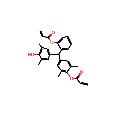 C=CC(=O)Oc1ccccc1C(c1cc(C)c(O)c(C)c1)c1cc(C)c(OC(=O)C=C)c(C)c1